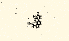 CC(C)(C)OC(=O)N1CCc2ccc(-n3ccc(=O)[nH]c3=O)cc21